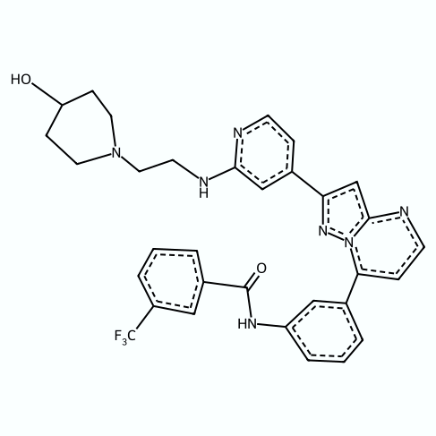 O=C(Nc1cccc(-c2ccnc3cc(-c4ccnc(NCCN5CCC(O)CC5)c4)nn23)c1)c1cccc(C(F)(F)F)c1